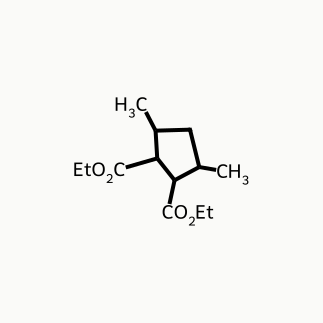 CCOC(=O)C1C(C)CC(C)C1C(=O)OCC